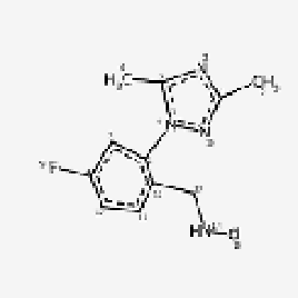 Cc1nc(C)n(-c2cc(F)ccc2CNCl)n1